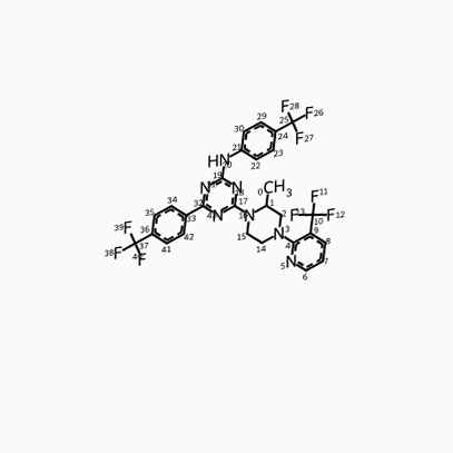 CC1CN(c2ncccc2C(F)(F)F)CCN1c1nc(Nc2ccc(C(F)(F)F)cc2)nc(-c2ccc(C(F)(F)F)cc2)n1